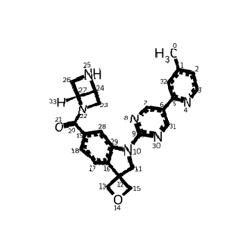 Cc1ccnc(-c2cnc(N3CC4(COC4)c4ccc(C(=O)N5CC6NC[C@H]65)cc43)nc2)c1